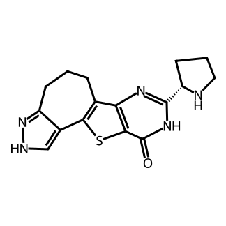 O=c1[nH]c([C@@H]2CCCN2)nc2c3c(sc12)-c1c[nH]nc1CCC3